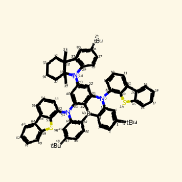 CC(C)(C)c1ccc2c(c1)N(c1cccc3c1sc1ccccc13)c1cc(N3c4ccc(C(C)(C)C)cc4C4(C)CCCCC34C)cc3c1B2c1ccc(C(C)(C)C)cc1N3c1cccc2c1sc1ccccc12